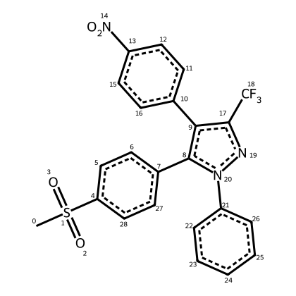 CS(=O)(=O)c1ccc(-c2c(-c3ccc([N+](=O)[O-])cc3)c(C(F)(F)F)nn2-c2ccccc2)cc1